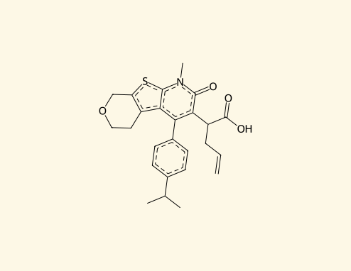 C=CCC(C(=O)O)c1c(-c2ccc(C(C)C)cc2)c2c3c(sc2n(C)c1=O)COCC3